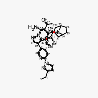 CCc1ccn(-c2ccc(-c3cnn4c(N)c(C(C)=O)c(C5CC6CCC(C5)N6C(=O)c5nnc[nH]5)nc34)cn2)n1